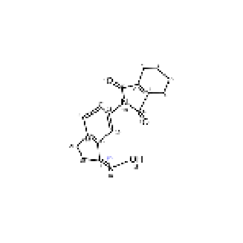 O=C1C2=C(CCCC2)C(=O)N1c1ccc2c(c1)/C(=N\O)CC2